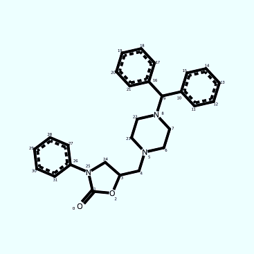 O=C1OC(CN2CCN(C(c3ccccc3)c3ccccc3)CC2)CN1c1ccccc1